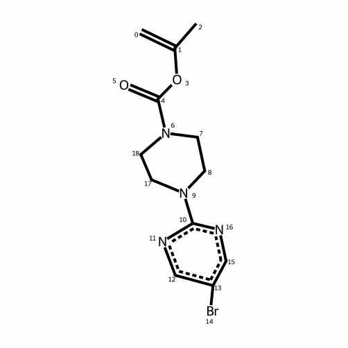 C=C(C)OC(=O)N1CCN(c2ncc(Br)cn2)CC1